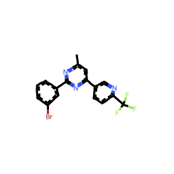 Cc1cc(-c2ccc(C(F)(F)F)nc2)nc(-c2cccc(Br)c2)n1